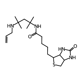 C=CCNC(C)(C)CC(C)(C)NC(=O)CCCCC1SCC2NC(=O)NC21